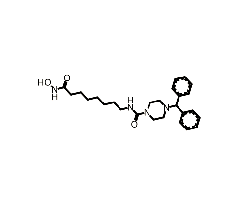 O=C(CCCCCCCNC(=O)N1CCN(C(c2ccccc2)c2ccccc2)CC1)NO